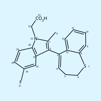 Cc1c(C2=CCCSc3ccccc32)c2cc(F)ccc2n1CC(=O)O